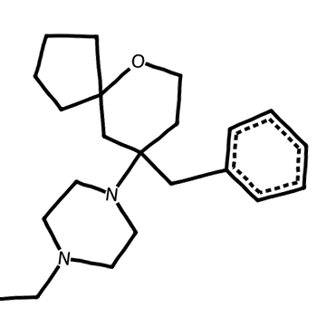 CC(C)CN1CCN(C2(Cc3ccccc3)CCOC3(CCCC3)C2)CC1